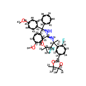 COc1ccc(C(NC2=NC(C)(c3cc(B4OC(C)(C)C(C)(C)O4)ccc3F)C(F)(F)C(C)(C)OC2)(c2ccccc2)c2ccc(OC)cc2)cc1